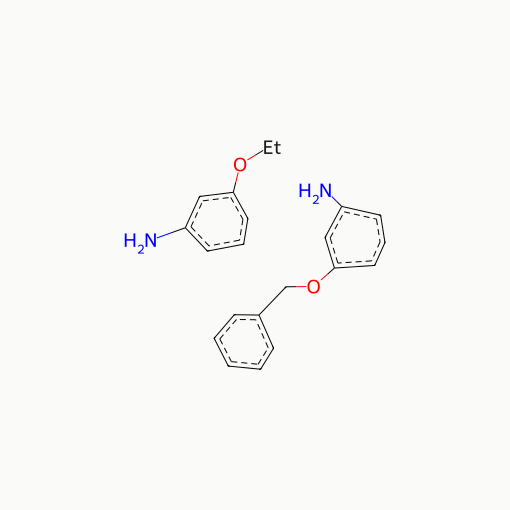 CCOc1cccc(N)c1.Nc1cccc(OCc2ccccc2)c1